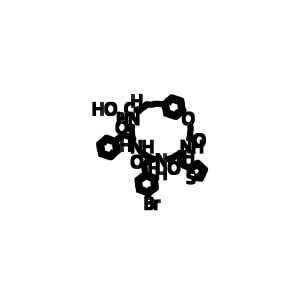 O=C1COc2ccc(cc2)C[C@@H](C(=O)O)NC(=O)[C@H](Cc2ccccc2)NC(=O)[C@@H](Cc2ccc(Br)cc2)NC(=O)[C@H](Cc2cccs2)N1